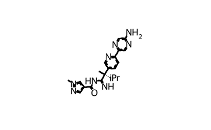 CC(C)[C@@](C)(C(=N)NC(=O)c1cnn(C)c1)c1ccc(-c2cnc(N)cn2)nc1